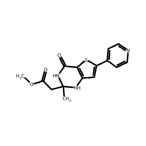 COC(=O)CC1(C)NC(=O)c2sc(-c3ccncc3)cc2N1